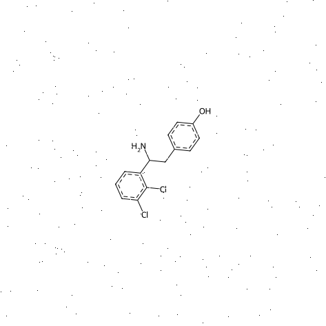 NC(Cc1ccc(O)cc1)c1cccc(Cl)c1Cl